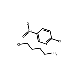 CCCCCCl.O=[N+]([O-])c1ccc(Cl)nc1